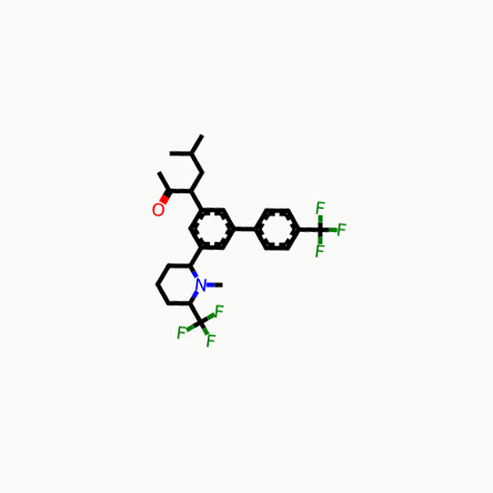 CC(=O)C(CC(C)C)c1cc(-c2ccc(C(F)(F)F)cc2)cc(C2CCCC(C(F)(F)F)N2C)c1